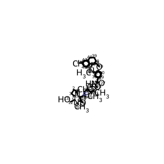 C[C@@H]1CCCN1[C@@H](C(=O)N(C)CCO)/C(F)=C/C[C@H](C)[C@@H](C)S(=O)(=O)NC(=O)c1ccc2c(c1)N(C)C[C@@]1(CCCc3cc(Cl)ccc31)CO2